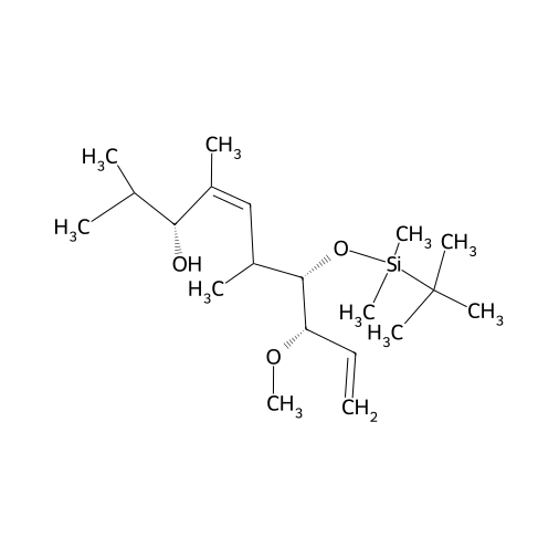 C=C[C@H](OC)[C@@H](O[Si](C)(C)C(C)(C)C)C(C)/C=C(/C)[C@H](O)C(C)C